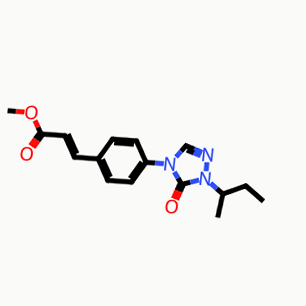 CCC(C)n1ncn(-c2ccc(/C=C/C(=O)OC)cc2)c1=O